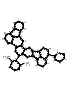 Cc1cccc(C)c1-c1cc2c(cc3c4ccccc4c4cccc2c43)c2cc3c(cc12)c1cccc2c(-c4ccccn4)ccc3c21